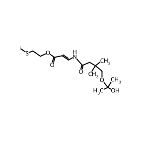 CC(C)(COC(C)(C)O)CC(=O)N/C=C/C(=O)OCCSI